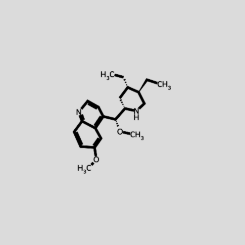 CC[C@H]1CN[C@H]([C@H](OC)c2ccnc3ccc(OC)cc23)C[C@@H]1CC